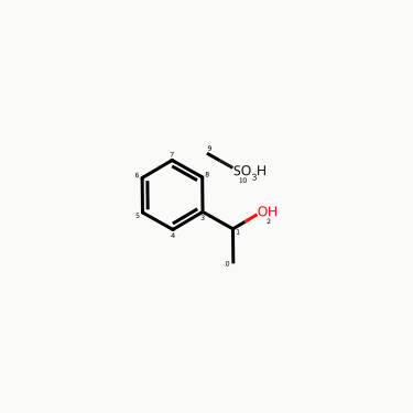 CC(O)c1ccccc1.CS(=O)(=O)O